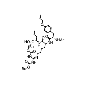 C=CCOc1ccc(C[C@H](NC(C)=O)C(=O)N[C@@H](CCCCN=C(NC(=O)OC(C)(C)C)NC(=O)OC(C)(C)C)C(=O)N[C@@H](CC=C)C(=O)O)cc1